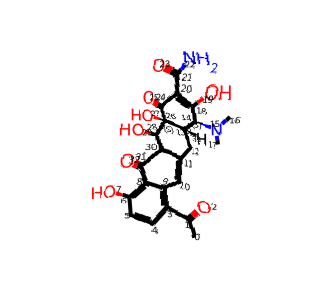 CC(=O)c1ccc(O)c2c1C=C1C[C@H]3[C@H](N(C)C)C(O)=C(C(N)=O)C(=O)[C@@]3(O)C(O)C1C2=O